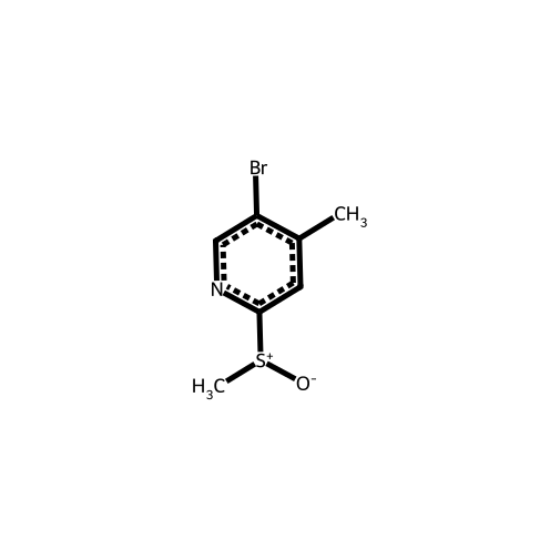 Cc1cc([S+](C)[O-])ncc1Br